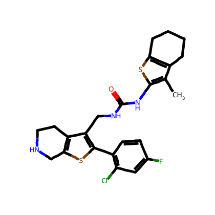 Cc1c(NC(=O)NCc2c(-c3ccc(F)cc3Cl)sc3c2CCNC3)sc2c1CCCC2